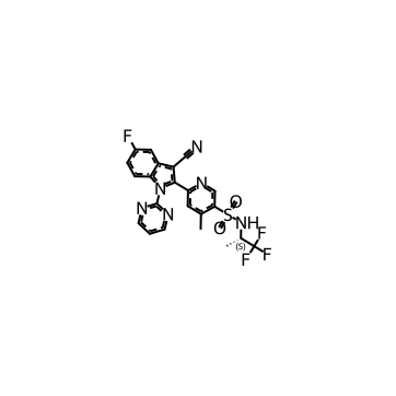 Cc1cc(-c2c(C#N)c3cc(F)ccc3n2-c2ncccn2)ncc1S(=O)(=O)N[C@@H](C)C(F)(F)F